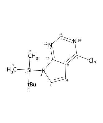 CC(C)(C)[Si](C)(C)n1ccc2c(Cl)ncnc21